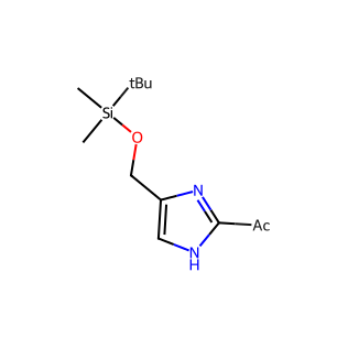 CC(=O)c1nc(CO[Si](C)(C)C(C)(C)C)c[nH]1